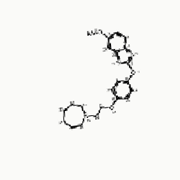 COc1ccc2nc(Oc3ccc(OCCN4CCCCCC4)cc3)sc2c1